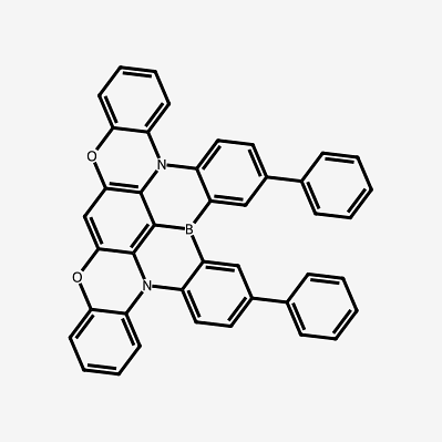 c1ccc(-c2ccc3c(c2)B2c4cc(-c5ccccc5)ccc4-n4c5ccccc5oc5cc6oc7ccccc7n-3c6c2c54)cc1